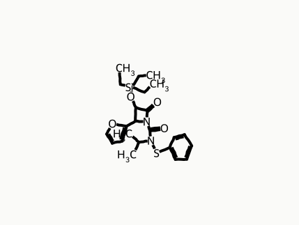 CC[Si](CC)(CC)OC1C(=O)N(C(=O)N(Sc2ccccc2)C(C)C)C1c1ccco1